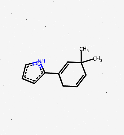 CC1(C)C=CCC(c2ccc[nH]2)=C1